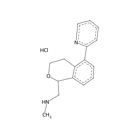 CNCC1OCCc2c(-c3ccccn3)cccc21.Cl